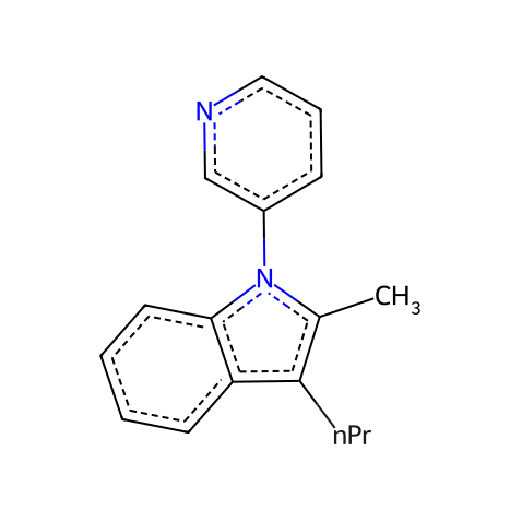 [CH2]CCc1c(C)n(-c2cccnc2)c2ccccc12